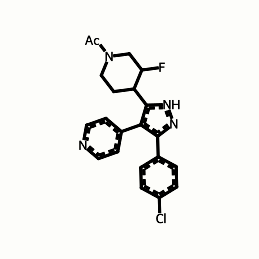 CC(=O)N1CCC(c2[nH]nc(-c3ccc(Cl)cc3)c2-c2ccncc2)C(F)C1